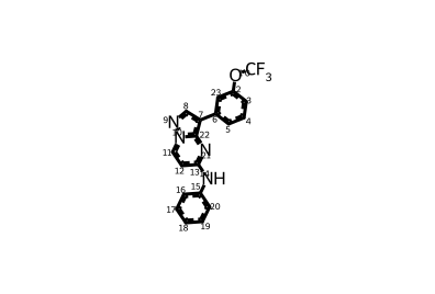 FC(F)(F)Oc1cccc(-c2cnn3ccc(Nc4ccccc4)nc23)c1